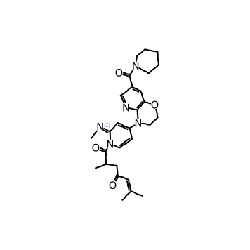 C/N=c1/cc(N2CCOc3cc(C(=O)N4CCCCC4)cnc32)ccn1C(=O)C(C)CC(=O)C=C(C)C